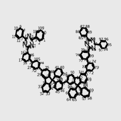 c1ccc(-c2nc(-c3ccccc3)nc(-c3cccc(-c4ccc(-c5ccc6c(c5)-c5ccccc5C6(c5ccccc5)c5cccc(-c6ccc7c(c6)C(c6ccccc6)(c6ccccc6)c6ccc(-c8cccc(-c9cccc(-c%10nc(-c%11ccccc%11)nc(-c%11ccccc%11)n%10)c9)c8)cc6-7)c5)cc4)c3)n2)cc1